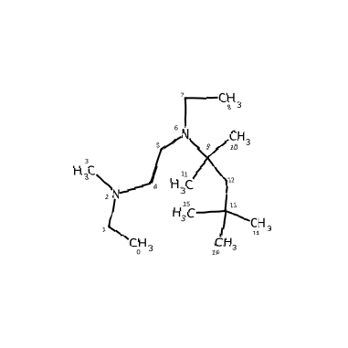 CCN(C)CCN(CC)C(C)(C)CC(C)(C)C